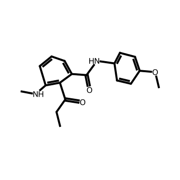 CCC(=O)c1c(NC)cccc1C(=O)Nc1ccc(OC)cc1